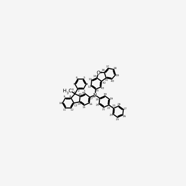 CC1(c2ccccc2)c2ccccc2-c2ccc(N(c3ccc(-c4ccccc4)cc3)c3ccc4oc5ccccc5c4c3)cc21